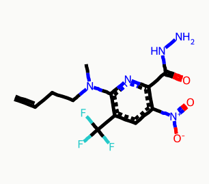 C=CCCN(C)c1nc(C(=O)NN)c([N+](=O)[O-])cc1C(F)(F)F